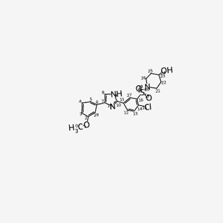 COc1cccc(-c2c[nH]c(-c3ccc(Cl)c(S(=O)(=O)N4CCC(O)CC4)c3)n2)c1